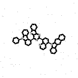 c1ccc(-n2c3ccccc3c3c(-c4nc(-c5ccc(-n6c7ccccc7c7cc8ccccc8cc76)c6cccnc56)nc5c4sc4ccccc45)cccc32)cc1